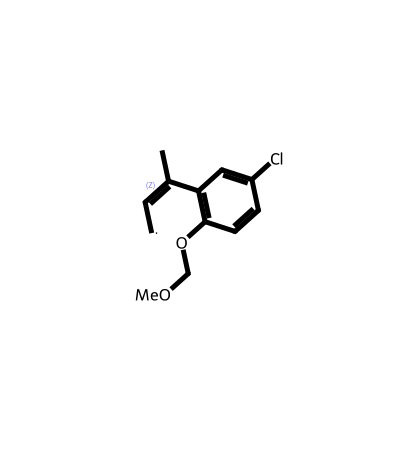 [CH2]/C=C(/C)c1cc(Cl)ccc1OCOC